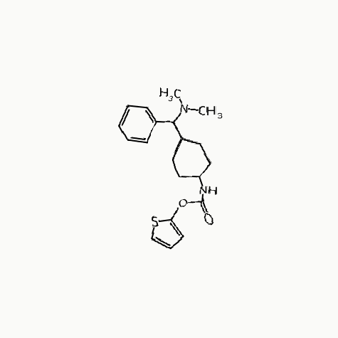 CN(C)C(c1ccccc1)C1CCC(NC(=O)Oc2cccs2)CC1